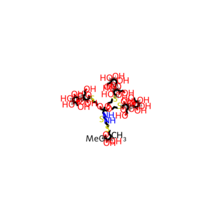 CO[C@H]1OC(CSCCNC(=S)NCC(COCCCS[C@@H]2OC(CO)[C@@H](O[C@@H]3OC(CO)[C@H](O)[C@H](O)C3O)[C@H](O)C2O)(COCCCS[C@@H]2OC(CO)[C@@H](O[C@@H]3OC(CO)[C@H](O)[C@H](O)C3O)[C@H](O)C2O)COCCCS[C@@H]2OC(CO)[C@@H](O[C@@H]3OC(CO)[C@H](O)[C@H](O)C3O)[C@H](O)C2O)C(C)[C@H](O)C1O